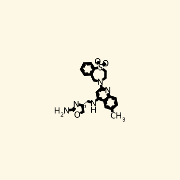 Cc1ccc2nc(N3CCS(=O)(=O)c4ccccc4C3)cc(NC[C@@H]3COC(N)=N3)c2c1